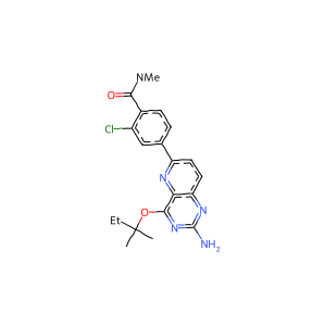 CCC(C)(C)Oc1nc(N)nc2ccc(-c3ccc(C(=O)NC)c(Cl)c3)nc12